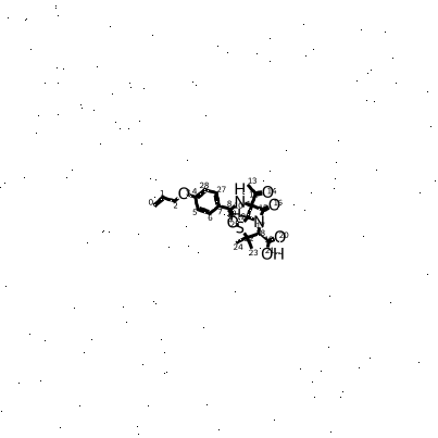 C=CCOc1ccc(C(=O)NC2(C(C)=O)C(=O)N3[C@@H](C(=O)O)C(C)(C)S[C@@H]32)cc1